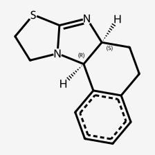 c1ccc2c(c1)CC[C@@H]1N=C3SCCN3[C@H]21